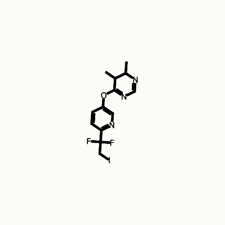 CC1N=CN=C(Oc2ccc(C(F)(F)CI)nc2)C1C